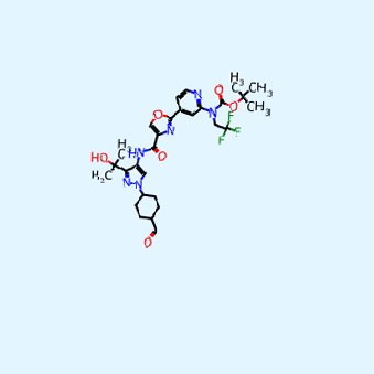 CC(C)(C)OC(=O)N(CC(F)(F)F)c1cc(-c2nc(C(=O)Nc3cn(C4CCC(C=O)CC4)nc3C(C)(C)O)co2)ccn1